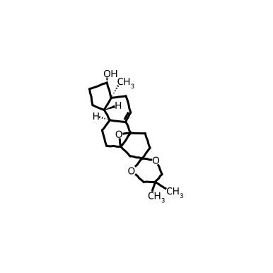 CC1(C)COC2(CCC34OC3(CC[C@@H]3C4=CC[C@]4(C)[C@@H](O)CC[C@@H]34)C2)OC1